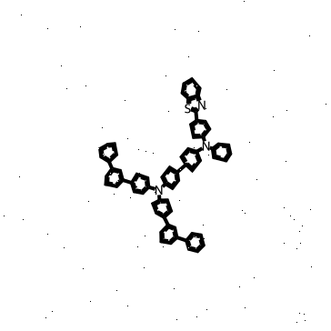 c1ccc(-c2cccc(-c3ccc(N(c4ccc(-c5ccc(N(c6ccccc6)c6ccc(-c7nc8ccccc8s7)cc6)cc5)cc4)c4ccc(-c5cccc(-c6ccccc6)c5)cc4)cc3)c2)cc1